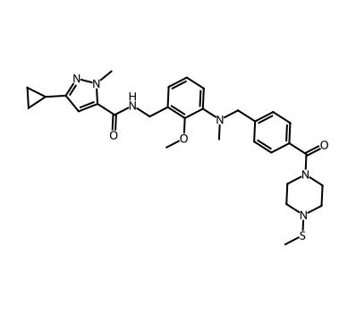 COc1c(CNC(=O)c2cc(C3CC3)nn2C)cccc1N(C)Cc1ccc(C(=O)N2CCN(SC)CC2)cc1